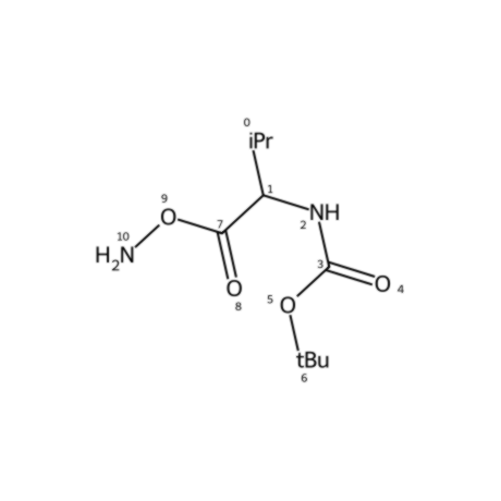 CC(C)C(NC(=O)OC(C)(C)C)C(=O)ON